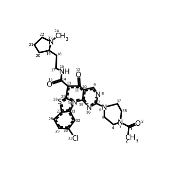 CC(=O)N1CCN(c2ncc3c(=O)c(C(=O)NCCC4CCCN4C)c4sc5ccc(Cl)cc5n4c3n2)CC1